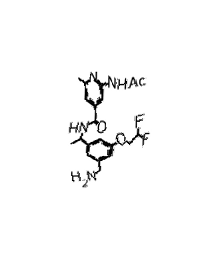 CC(=O)Nc1cc(C(=O)NC(C)c2cc(CN)cc(OCC(F)F)c2)cc(C)n1